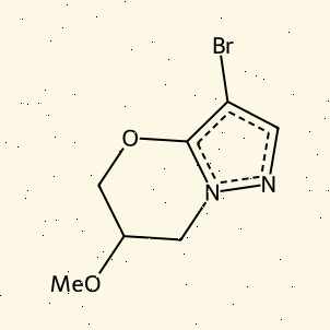 COC1COc2c(Br)cnn2C1